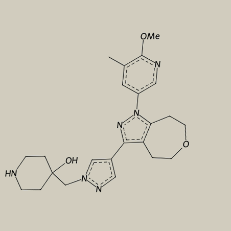 COc1ncc(-n2nc(-c3cnn(CC4(O)CCNCC4)c3)c3c2CCOCC3)cc1C